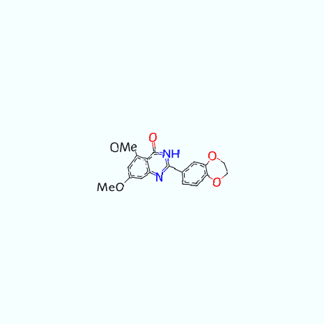 COc1cc(OC)c2c(=O)[nH]c(-c3ccc4c(c3)OCCO4)nc2c1